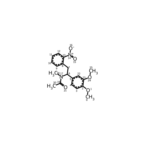 COc1ccc(C(Cc2ccccc2[N+](=O)[O-])N(C)C(C)=O)cc1OC